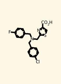 O=C(O)c1csc(CN(Cc2ccc(F)cc2)Cc2ccc(Cl)cc2)n1